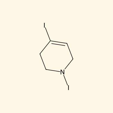 IC1=CCN(I)CC1